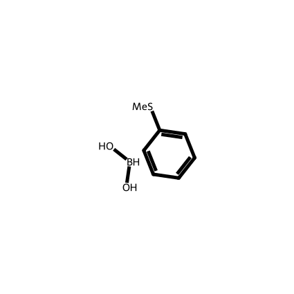 CSc1ccccc1.OBO